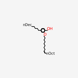 CCCCCCCC/C=C\CCCCCCCCOc1cc(CCCCCCCCCCCCCCC)ccc1CO